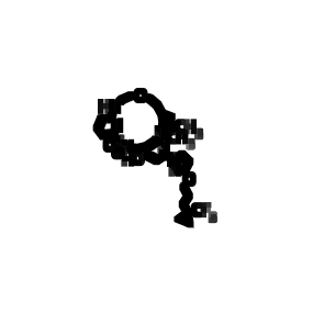 CC1(C)CC2CCOCCNc3cccc(n3)S(=O)(=O)NC(=O)c3ccc(-n4ccc(OCCCC5(C(F)(F)F)CC5)n4)nc3N1C2